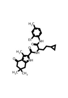 CCc1cc(C)ccc1NC(=O)C(CCC1CC1)NC(=O)c1[nH]c2c(c1C)C(=O)CC(C)(C)C2